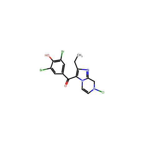 CCc1nc2n(c1C(=O)c1cc(Br)c(O)c(Br)c1)C=CN(Cl)C2